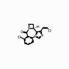 O=C1c2c(Cl)cccc2-n2cnc(/C=C\Cl)c2[C@@H]2CCN12